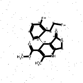 COC(=O)C1=C(C)NC2=C(C(=O)OC2)[C@H]1c1cccc(F)c1CCF